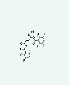 O=C(CC/C(=N/O)OC(=O)c1c(F)c(F)cc(F)c1F)OC(=O)c1c(F)c(F)cc(F)c1F